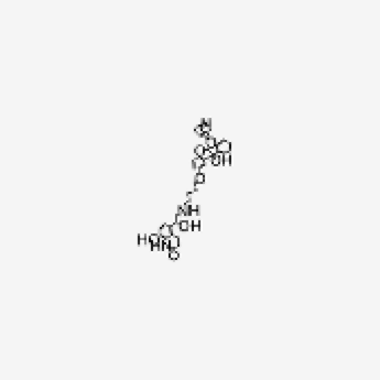 O=C(OC1CN2CCC1CC2)C(O)(c1ccccc1)c1cccc(OCCCCCNCC(O)c2ccc(O)c3[nH]c(=O)ccc23)c1